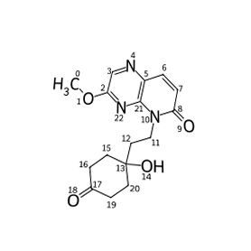 COc1cnc2ccc(=O)n(CCC3(O)CCC(=O)CC3)c2n1